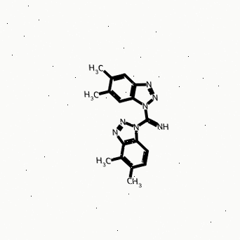 Cc1cc2nnn(C(=N)n3nnc4c(C)c(C)ccc43)c2cc1C